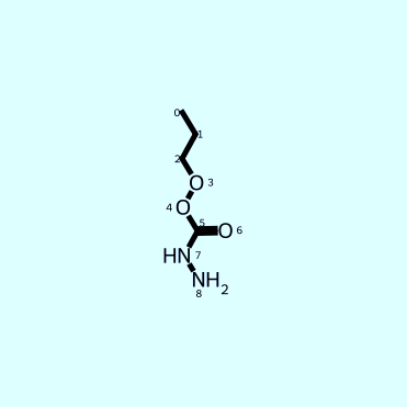 CCCOOC(=O)NN